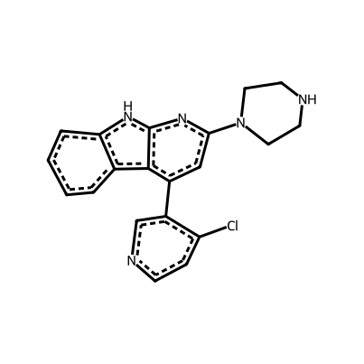 Clc1ccncc1-c1cc(N2CCNCC2)nc2[nH]c3ccccc3c12